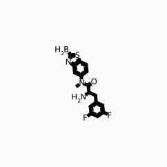 Bc1nc2cc(N(C)C(=O)C(N)Cc3cc(F)cc(F)c3)ccc2s1